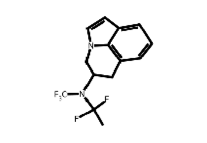 CC(F)(F)N(C1Cc2cccc3ccn(c23)C1)C(F)(F)F